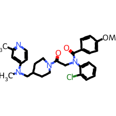 COc1ccc(C(=O)N(CC(=O)N2CCC(CN(C)c3ccnc(C(F)(F)F)c3)CC2)c2ccccc2Cl)cc1